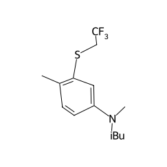 CCC(C)N(C)c1ccc(C)c(SCC(F)(F)F)c1